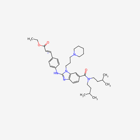 CCOC(=O)/C=C/c1ccc(Nc2nc3ccc(C(=O)N(CCC(C)C)CCC(C)C)cc3n2CCCN2CCCCC2)cc1